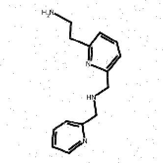 NCCc1cccc(CNCc2ccccn2)n1